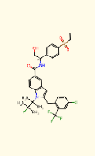 BC(B)(F)C(B)(B)n1c(Cc2ccc(Cl)cc2C(F)(F)F)cc2cc(C(=O)N[C@@H](CO)c3ccc(S(=O)(=O)CC)cc3)ccc21